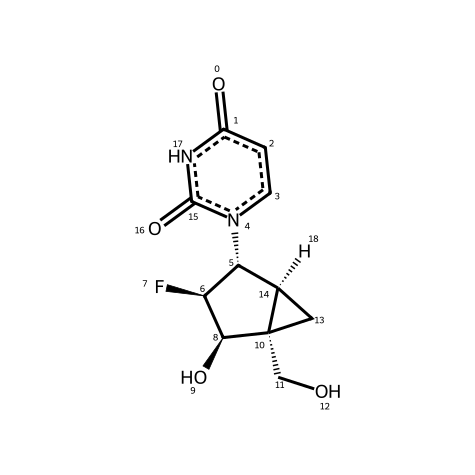 O=c1ccn([C@H]2[C@H](F)[C@H](O)[C@]3(CO)C[C@H]23)c(=O)[nH]1